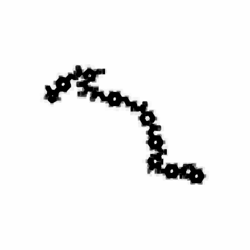 Cc1ncsc1-c1ccc(CNC(=O)[C@@H]2C[C@@H](O)CN2C(=O)[C@@H](NC(=O)CCc2ccc(CCCNC(=O)N3CCN(C(=O)Cc4ccc(Nc5ncc(F)c(Nc6ccc(C(=O)Nc7ccccc7Cl)cc6)n5)cc4)CC3)cc2)C(C)(C)C)cc1